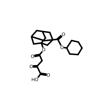 O=C(CC(=O)C(=O)O)OC12CC3CC(C1)CC(C(=O)OC1CCCCC1)(C3)C2